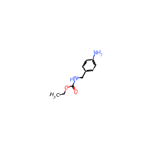 CCOC(=O)NCc1ccc(N)cc1